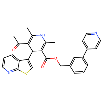 CC(=O)C1=C(C)NC(C)=C(C(=O)OCc2cccc(-c3ccncc3)c2)C1c1csc2ncccc12